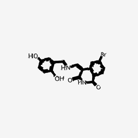 O=C1NC(=O)c2ccc(Br)cc2C1=CNCc1cc(O)ccc1O